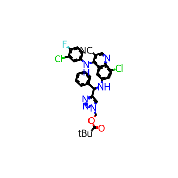 CC(C)(C)C(=O)OCn1cc(C(Nc2cc(Cl)c3ncc(C#N)c(Nc4ccc(F)c(Cl)c4)c3c2)c2ccccc2)nn1